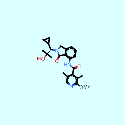 COc1ncc(C)c(C(=O)Nc2cccc3c2C(=O)N([C@H](C2CC2)C(C)(C)O)C3)c1C